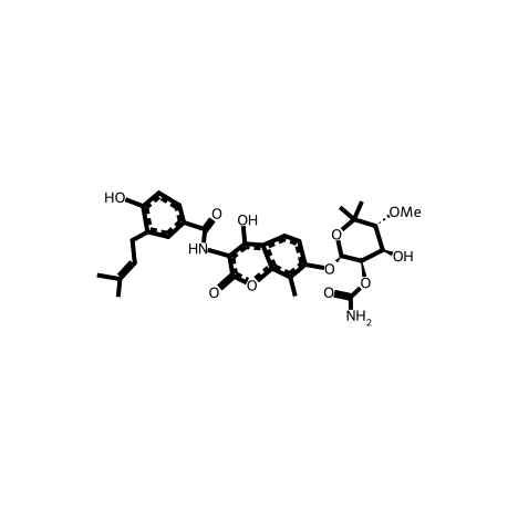 CO[C@@H]1[C@@H](O)[C@@H](OC(N)=O)[C@H](Oc2ccc3c(O)c(NC(=O)c4ccc(O)c(CC=C(C)C)c4)c(=O)oc3c2C)OC1(C)C